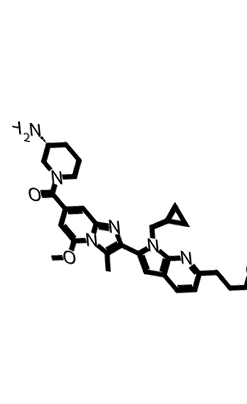 COc1cc(C(=O)N2CCC[C@@H](N)C2)cc2nc(-c3cc4ccc(CCC(=O)N(C)C)nc4n3CC3CC3)c(C)n12